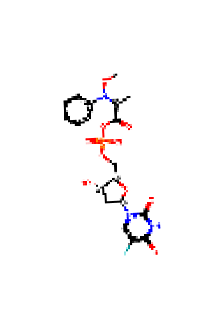 CON(c1ccccc1)[C@@H](C)C(=O)OP(=O)(O)OC[C@H]1O[C@@H](n2cc(F)c(=O)[nH]c2=O)C[C@@H]1O